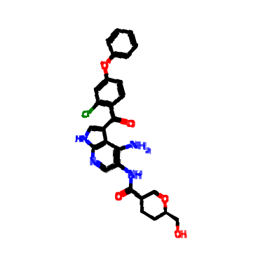 Nc1c(NC(=O)C2CC[C@H](CO)OC2)cnc2[nH]cc(C(=O)c3ccc(Oc4ccccc4)cc3Cl)c12